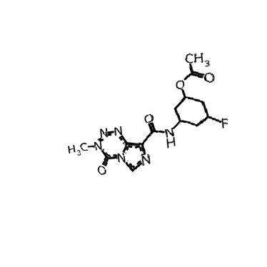 CC(=O)OC1CC(F)CC(NC(=O)c2ncn3c(=O)n(C)nnc23)C1